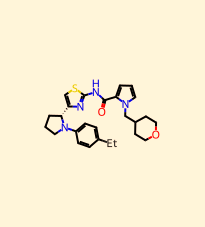 CCc1ccc(N2CCC[C@@H]2c2csc(NC(=O)c3cccn3CC3CCOCC3)n2)cc1